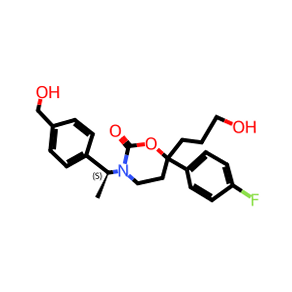 C[C@@H](c1ccc(CO)cc1)N1CCC(CCCO)(c2ccc(F)cc2)OC1=O